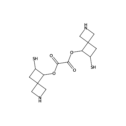 O=C(OC1C(S)CC12CNC2)C(=O)OC1C(S)CC12CNC2